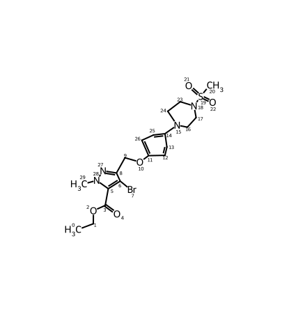 CCOC(=O)c1c(Br)c(COc2ccc(N3CCN(S(C)(=O)=O)CC3)cc2)nn1C